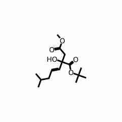 COC(=O)CC(O)(C=CCC(C)C)C(=O)OC(C)(C)C